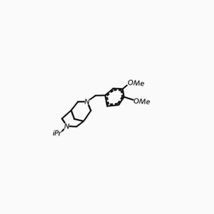 COc1ccc(CN2CC3CC(C2)CN(C(C)C)C3)cc1OC